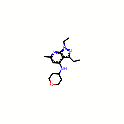 CCc1nn(CC)c2nc(C)cc(NC3CCOCC3)c12